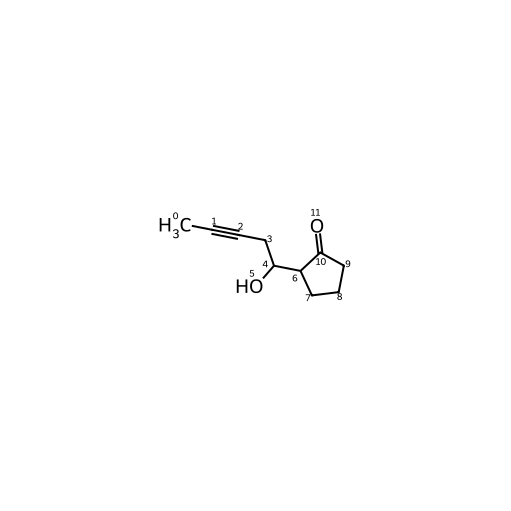 CC#CCC(O)C1CCCC1=O